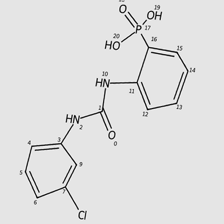 O=C(Nc1cccc(Cl)c1)Nc1ccccc1P(=O)(O)O